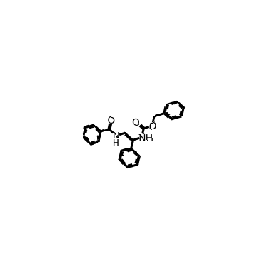 O=C(N/C(=C/NC(=O)c1ccccc1)c1ccccc1)OCc1ccccc1